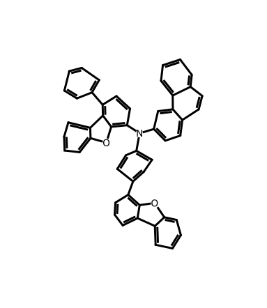 c1ccc(-c2ccc(N(c3ccc(-c4cccc5c4oc4ccccc45)cc3)c3ccc4ccc5ccccc5c4c3)c3oc4ccccc4c23)cc1